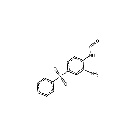 Nc1cc(S(=O)(=O)c2ccccc2)ccc1NC=O